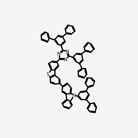 c1ccc(-c2cc(-c3ccccc3)cc(-c3nc(-c4cc(-c5ccccc5)cc(-c5ccccc5)c4)nc(-c4ccc5sc6ccc(-c7ccc8c(c7)c7ccccc7n8-c7cc(-c8ccccc8)cc(-c8ccccc8)c7)cc6c5c4)n3)c2)cc1